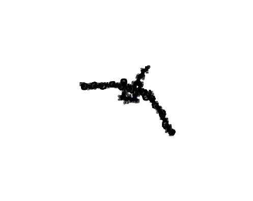 CCCCCc1cc(OCN(C)C(=O)OCCOCCOCCOCCOC)c(C/C=C(\C)CCC=C(C)C)c(OCN(C)C(=O)OCCOCCOCCOCCOC)c1